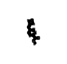 COC(=O)c1ccc(C=C2COC2)cn1